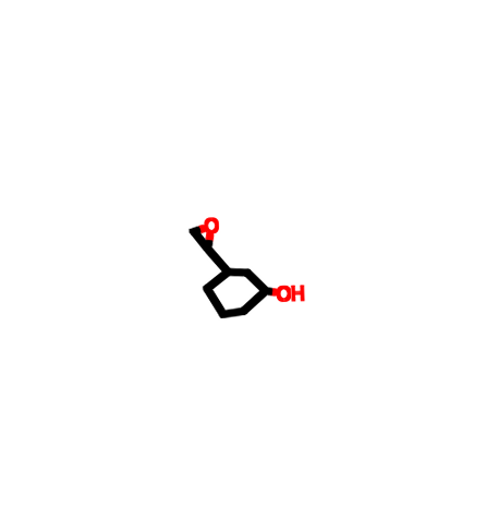 OC1CCCC(C2CO2)C1